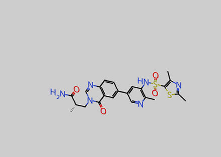 Cc1nc(C)c(S(=O)(=O)Nc2cc(-c3ccc4ncn(C[C@H](C)C(N)=O)c(=O)c4c3)cnc2C)s1